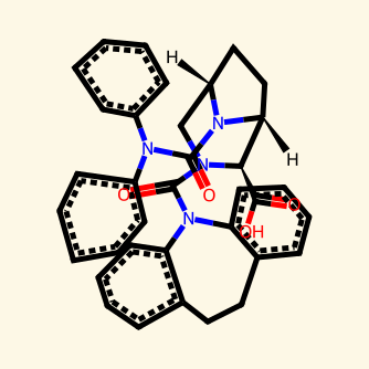 O=C(O)[C@@H]1[C@H]2CC[C@@H](CN1C(=O)N1c3ccccc3CCc3ccccc31)N2C(=O)N(c1ccccc1)c1ccccc1